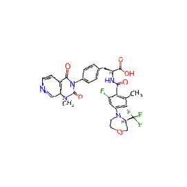 Cc1cc(N2CCOC[C@@H]2C(F)(F)F)cc(F)c1C(=O)N[C@@H](Cc1ccc(-n2c(=O)c3ccncc3n(C)c2=O)cc1)C(=O)O